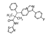 CC(C)(C(=O)Nc1nccs1)C(c1ccccc1)c1ccc2c(-c3ccc(F)cc3)ncn2c1